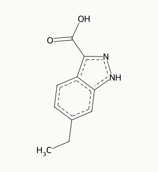 CCc1ccc2c(C(=O)O)n[nH]c2c1